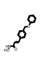 O=C(/C=C/c1ccc(COc2ccccc2)cc1)NO